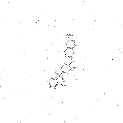 COc1ccc2c(c1)CCN(CC1CCN(S(=O)(=O)c3ccccc3Cl)CC1)C2.Cl